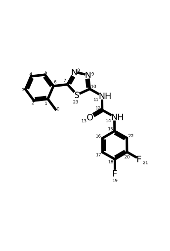 Cc1ccccc1-c1nnc(NC(=O)Nc2ccc(F)c(F)c2)s1